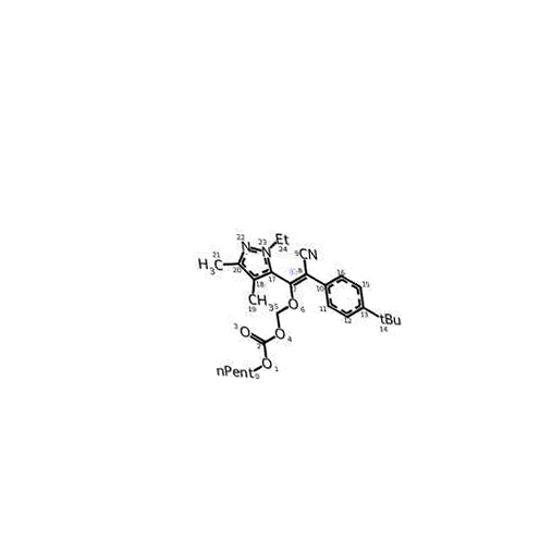 CCCCCOC(=O)OCO/C(=C(/C#N)c1ccc(C(C)(C)C)cc1)c1c(C)c(C)nn1CC